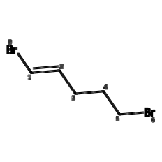 BrC=CCCCBr